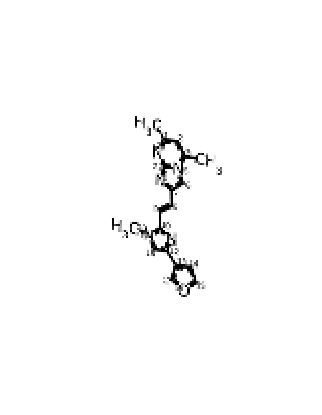 Cc1cc(C)n2cc(C=Cc3nc(-c4ccoc4)cn3C)nc2n1